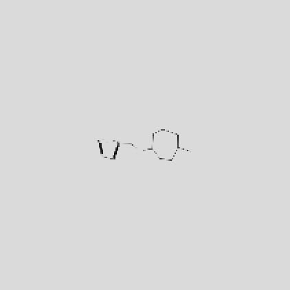 CC1CCCC(OCc2ccco2)CC1